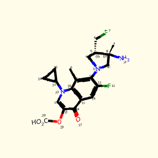 Cc1c(N2C[C@H](CF)[C@](C)(N)C2)c(F)cc2c(=O)c(OC(=O)O)cn(C3CC3)c12